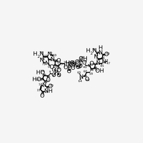 CO[C@@H]1[C@H](OP(=O)([O-])OC[C@H]2O[C@@H](n3ccc(=O)[nH]c3=O)[C@H](O)[C@@H]2O)C(COP(=O)(O)OP(=O)(O)OP(=O)(O)OC[C@H]2OC(n3c[n+](C)c4c(=O)[nH]c(N)nc43)[C@H](O)[C@@H]2CCC(=O)N(C)C)O[C@H]1n1cnc2c(N)ncnc21